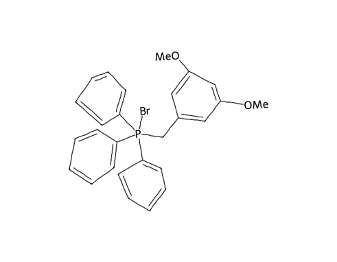 COc1cc(CP(Br)(c2ccccc2)(c2ccccc2)c2ccccc2)cc(OC)c1